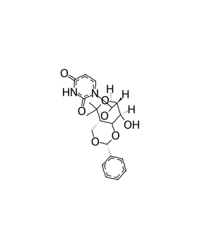 CC1(C)O[C@H]2[C@H](n3ccc(=O)[nH]c3=O)O[C@]13CO[C@@H](c1ccccc1)OC3[C@@H]2O